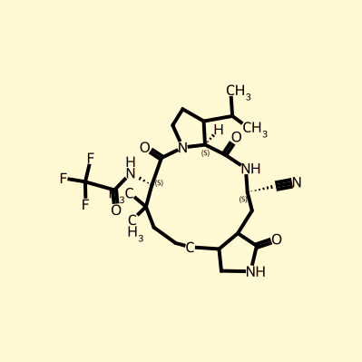 CC(C)C1CCN2C(=O)[C@@H](NC(=O)C(F)(F)F)C(C)(C)CCCC3CNC(=O)C3C[C@@H](C#N)NC(=O)[C@H]12